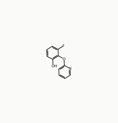 Oc1cccc(F)c1Oc1ccccn1